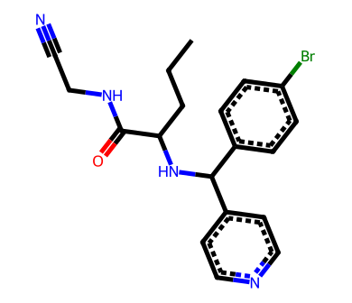 CCCC(NC(c1ccncc1)c1ccc(Br)cc1)C(=O)NCC#N